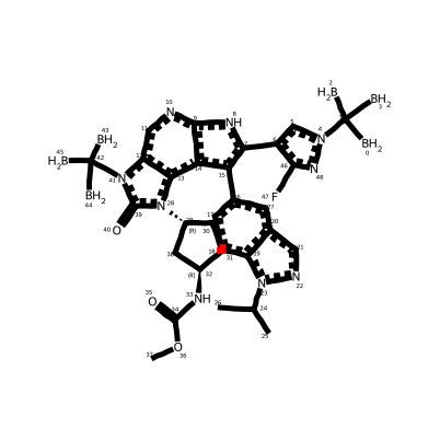 BC(B)(B)n1cc(-c2[nH]c3ncc4c(c3c2-c2ccc3c(cnn3C(C)C)c2)n([C@@H]2CC[C@@H](NC(=O)OC)C2)c(=O)n4C(B)(B)B)c(F)n1